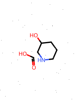 O=CO.OC1CCCNC1